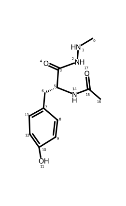 CNNC(=O)[C@@H](Cc1ccc(O)cc1)NC(C)=O